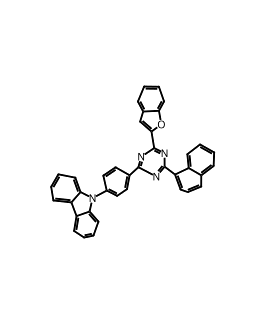 c1ccc2oc(-c3nc(-c4ccc(-n5c6ccccc6c6ccccc65)cc4)nc(-c4cccc5ccccc45)n3)cc2c1